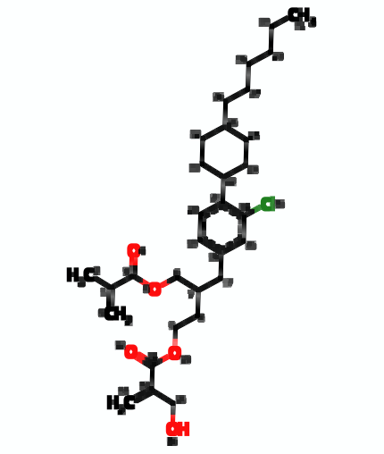 C=C(C)C(=O)OCC(CCOC(=O)C(=C)CO)Cc1ccc(C2CCC(CCCCCC)CC2)c(Cl)c1